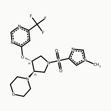 Cn1cnc(S(=O)(=O)N2C[C@@H](N3CCOCC3)[C@H](Oc3cc(C(F)(F)F)ncn3)C2)c1